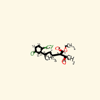 CCOC(=O)C(CC=C(C)c1cc(Cl)ccc1Cl)C(C)=O